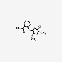 COC1=C(CN2CCCCC2C(=O)O)C=C(Cl)C(C)C1